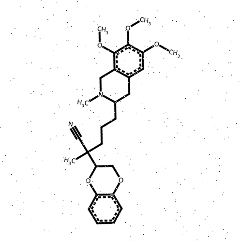 COc1cc2c(c(OC)c1OC)CN(C)C(CCCC(C)(C#N)C1COc3ccccc3O1)C2